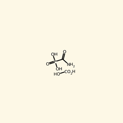 NC(=O)P(=O)(O)O.O=C(O)O